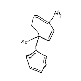 CC(=O)C1(c2ccccc2)C=CC(N)=CC1